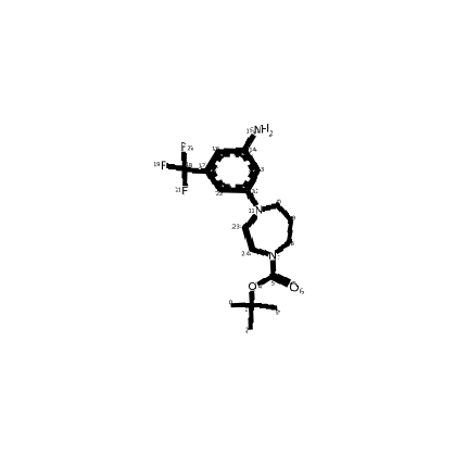 CC(C)(C)OC(=O)N1CCCN(c2cc(N)cc(C(F)(F)F)c2)CC1